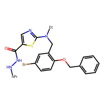 CCCNNC(=O)c1cnc(N(CC)Cc2cc(Br)ccc2OCc2ccccc2)s1